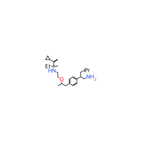 C=C(C1CC1)C(C)(CC)NCCOC(C)Cc1ccc(C(CN)CC(C)C)cc1